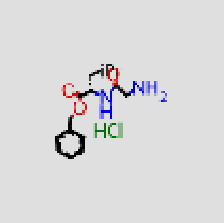 CC(C)C[C@H](NC(=O)CN)C(=O)OCc1ccccc1.Cl